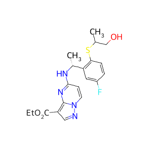 CCOC(=O)c1cnn2ccc(N[C@H](C)c3cc(F)ccc3SC(C)CO)nc12